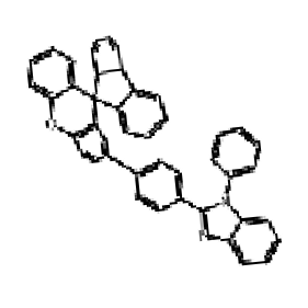 C1=CC2c3ccccc3C3(c4ccccc4Oc4ccc(-c5ccc(-c6nc7ccccc7n6-c6ccccc6)cc5)cc43)C2C=C1